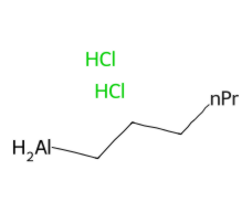 CCCCC[CH2][AlH2].Cl.Cl